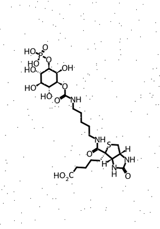 O=C(O)CCCC[C@]1(C(=O)NCCCCCNC(=O)O[C@@H]2[C@H](O)[C@H](OP(=O)(O)O)[C@@H](O)[C@H](O)[C@H]2O)SC[C@@H]2NC(=O)N[C@@H]21